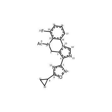 CC(=O)N1Cc2c(-c3noc(C4CC4)n3)ncn2-c2cccc(F)c21